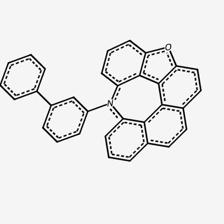 c1ccc(-c2cccc(-n3c4cccc5ccc6ccc7oc8cccc3c8c7c6c54)c2)cc1